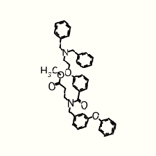 COC(=O)CCN(Cc1cccc(Oc2ccccc2)c1)C(=O)c1cccc(OCCN(Cc2ccccc2)Cc2ccccc2)c1